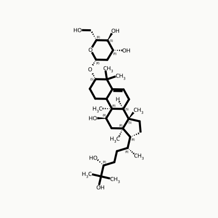 C[C@H](CC[C@@H](O)C(C)(C)O)[C@H]1CC[C@@]2(C)[C@@H]3CC=C4C(CC[C@H](O[C@H]5C[C@@H](O)[C@H](O)[C@@H](CO)O5)C4(C)C)[C@]3(C)[C@H](O)C[C@]12C